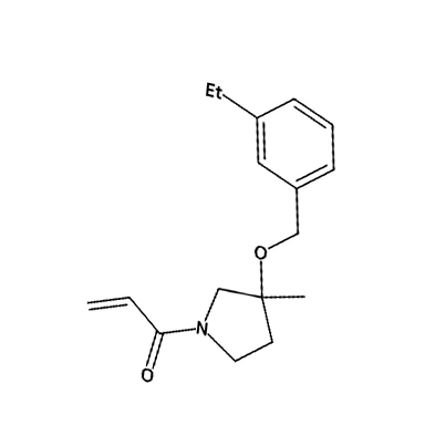 C=CC(=O)N1CCC(C)(OCc2cccc(CC)c2)C1